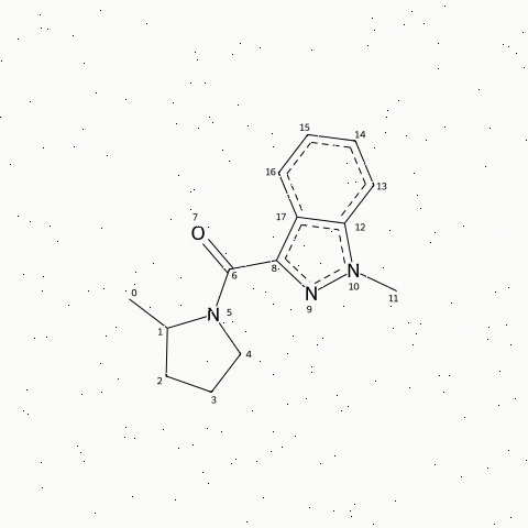 CC1CCCN1C(=O)c1nn(C)c2ccccc12